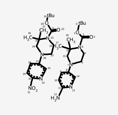 CC(C)(C)OC(=O)N1CCN(c2ccc(N)nc2)CC1(C)C.CC(C)(C)OC(=O)N1CCN(c2ccc([N+](=O)[O-])nc2)CC1(C)C